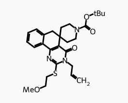 C=CCn1c(SCCOC)nc2c(c1=O)C1(CCN(C(=O)OC(C)(C)C)CC1)Cc1ccccc1-2